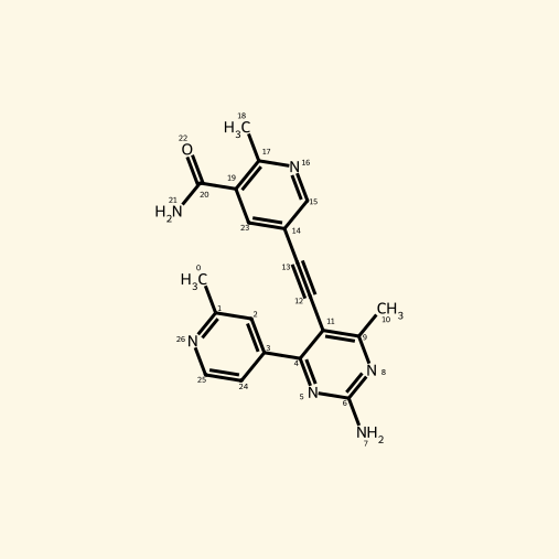 Cc1cc(-c2nc(N)nc(C)c2C#Cc2cnc(C)c(C(N)=O)c2)ccn1